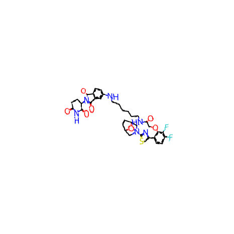 O=C(COc1c(-c2csc(N3CC4CCC(C3)O4)n2)ccc(F)c1F)NCCCCCCNc1ccc2c(c1)C(=O)N(C1CCC(=O)NC1=O)C2=O